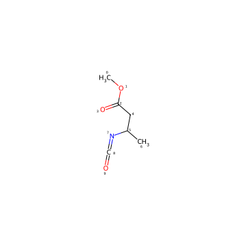 COC(=O)CC(C)N=C=O